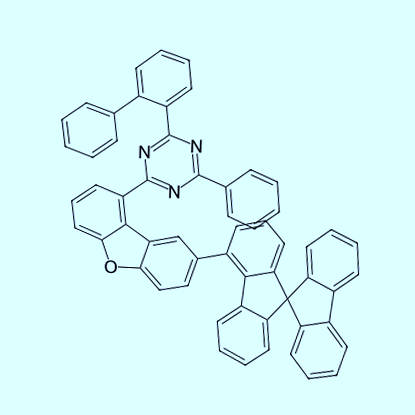 c1ccc(-c2nc(-c3ccccc3-c3ccccc3)nc(-c3cccc4oc5ccc(-c6cccc7c6-c6ccccc6C76c7ccccc7-c7ccccc76)cc5c34)n2)cc1